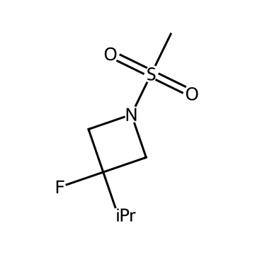 CC(C)C1(F)CN(S(C)(=O)=O)C1